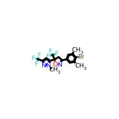 Cc1cc(C2=NOC(c3cc(C(F)(F)F)nn3C)(C(F)(F)F)C2)cc(C)c1Br